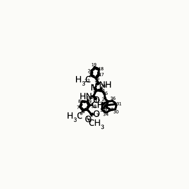 COC(=O)c1c(C)ccc(NC(=O)c2nc(-c3ccccc3C)[nH]c2CCC23CC4CC(CC(C4)C2)C3)c1C